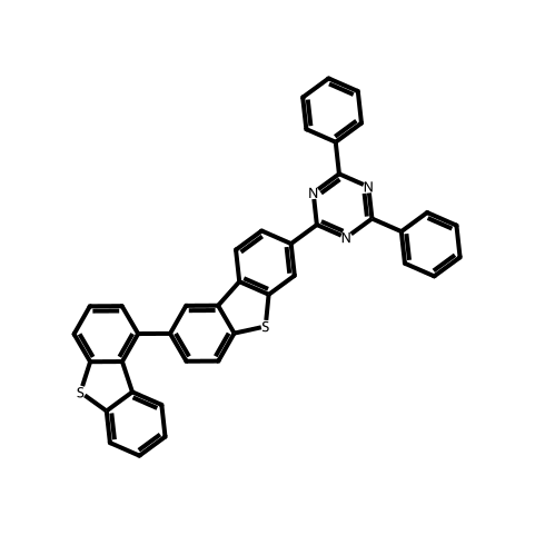 c1ccc(-c2nc(-c3ccccc3)nc(-c3ccc4c(c3)sc3ccc(-c5cccc6sc7ccccc7c56)cc34)n2)cc1